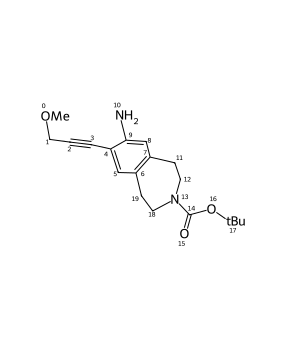 COCC#Cc1cc2c(cc1N)CCN(C(=O)OC(C)(C)C)CC2